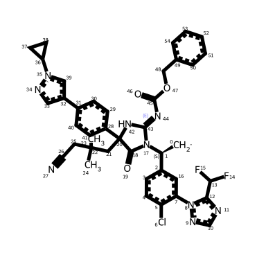 [CH2][C@@H](c1ccc(Cl)c(-n2ncnc2C(F)F)c1)N1C(=O)C(CC(C)(C)CC#N)(c2ccc(-c3cnn(C4CC4)c3)cc2)N/C1=N\C(=O)OCc1ccccc1